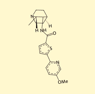 COc1ccc(-c2ccc(C(=O)N[C@@H]3C4CCN(CC4)[C@H]3C)s2)nc1